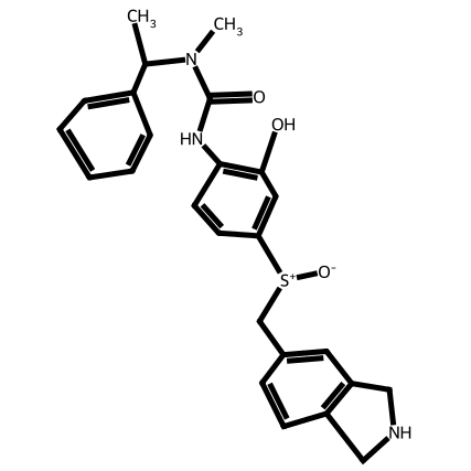 CC(c1ccccc1)N(C)C(=O)Nc1ccc([S+]([O-])Cc2ccc3c(c2)CNC3)cc1O